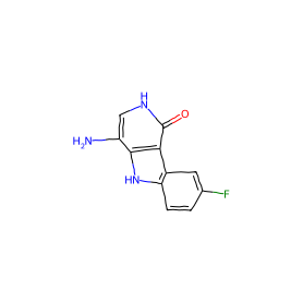 Nc1c[nH]c(=O)c2c1[nH]c1ccc(F)cc12